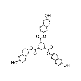 O=C(Oc1ccc2cc(O)ccc2c1)c1cc(C(=O)Oc2ccc3cc(O)ccc3c2)cc(C(=O)Oc2ccc3cc(O)ccc3c2)c1